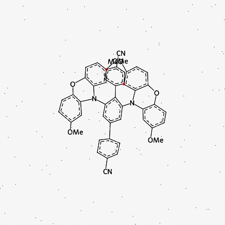 COc1ccc2c(c1)N(c1cc(-c3ccc(C#N)cc3)cc(N3c4cc(OC)ccc4Oc4ccc(OC)cc43)c1-c1ccc(C#N)cc1)c1cc(OC)ccc1O2